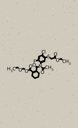 CCOCOC(=O)C1=C(C(=O)N(C(C)=O)c2cc(SCC(=O)OCC)c(Cl)cc2F)CCCC1